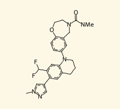 CNC(=O)N1CCOc2ccc(N3CCCc4cc(-c5cnn(C)c5)c(C(F)F)cc43)cc2C1